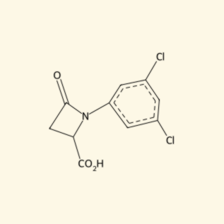 O=C(O)C1CC(=O)N1c1cc(Cl)cc(Cl)c1